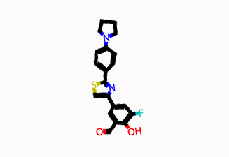 O=Cc1cc(-c2csc(-c3ccc(N4CCCC4)cc3)n2)cc(F)c1O